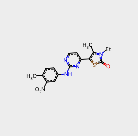 CCn1c(C)c(-c2ccnc(Nc3ccc(C)c([N+](=O)[O-])c3)n2)sc1=O